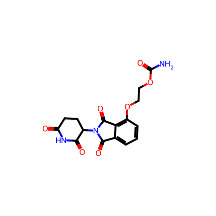 NC(=O)OCCOc1cccc2c1C(=O)N(C1CCC(=O)NC1=O)C2=O